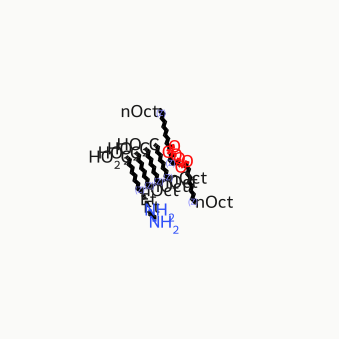 CCC.CCC.CCCCCCCC/C=C\CCCCCCCC(=O)O.CCCCCCCC/C=C\CCCCCCCC(=O)O.CCCCCCCC/C=C\CCCCCCCC(=O)O.CCCCCCCC/C=C\CCCCCCCC(=O)O.CCCCCCCC/C=C\CCCCCCCC(=O)OC(=O)/C=C\C(=O)OC(=O)CCCCCCC/C=C\CCCCCCCC.NCCN